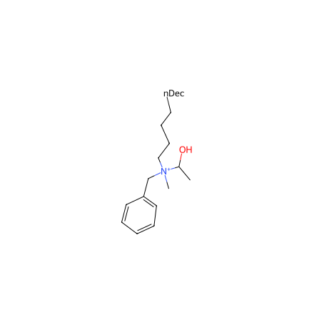 CCCCCCCCCCCCCC[N+](C)(Cc1ccccc1)C(C)O